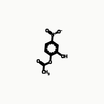 CC(=O)Oc1ccc([N+](=O)[O-])cc1O